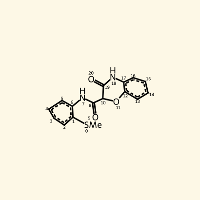 CSc1ccccc1NC(=O)C1Oc2ccccc2NC1=O